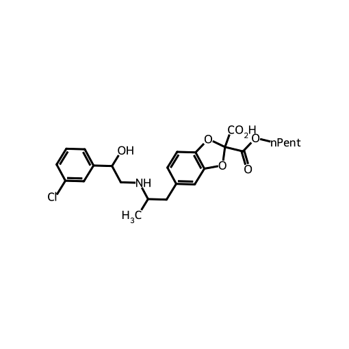 CCCCCOC(=O)C1(C(=O)O)Oc2ccc(CC(C)NCC(O)c3cccc(Cl)c3)cc2O1